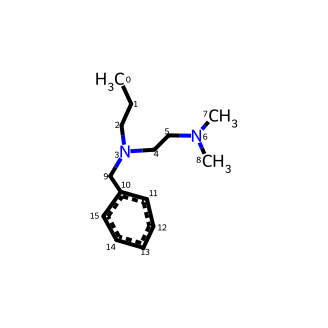 CCCN(CCN(C)C)Cc1ccccc1